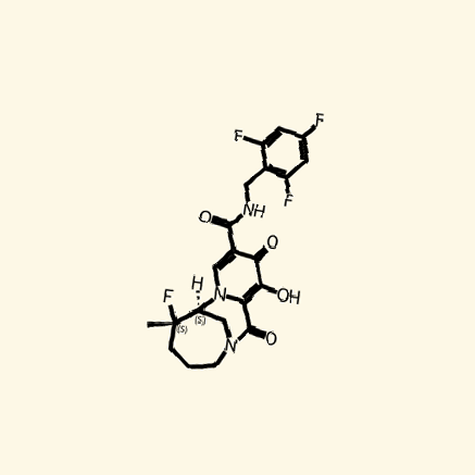 C[C@]1(F)CCCN2C[C@@H]1n1cc(C(=O)NCc3c(F)cc(F)cc3F)c(=O)c(O)c1C2=O